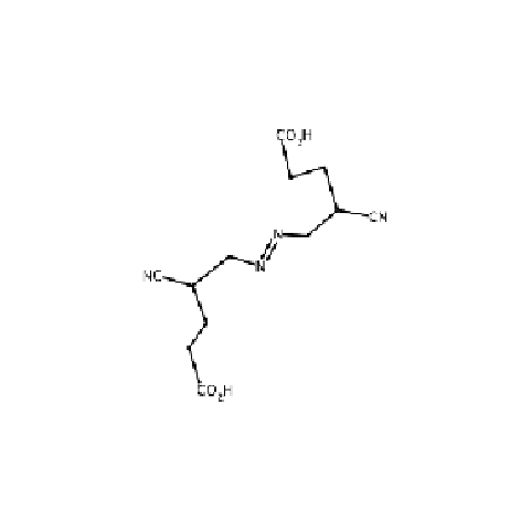 N#CC(CCC(=O)O)CN=NCC(C#N)CCC(=O)O